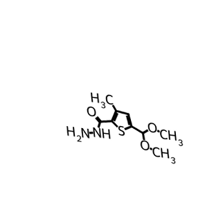 COC(OC)c1cc(C)c(C(=O)NN)s1